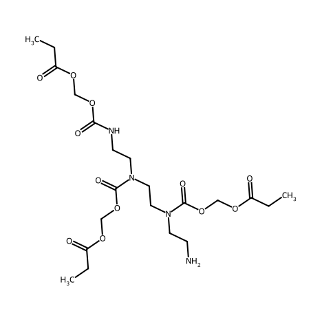 CCC(=O)OCOC(=O)NCCN(CCN(CCN)C(=O)OCOC(=O)CC)C(=O)OCOC(=O)CC